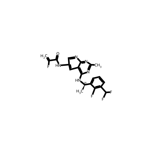 C=C(F)C(=O)Nc1cnc2nc(C)nc(N[C@H](C)c3cccc(C(F)F)c3F)c2c1